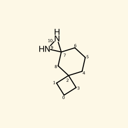 C1CC2(C1)CCCC1(C2)NN1